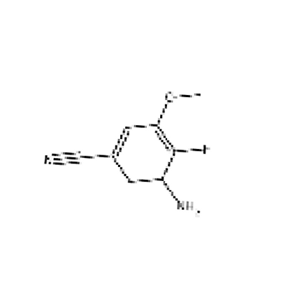 COC1=C(F)C(N)CC(C#N)=C1